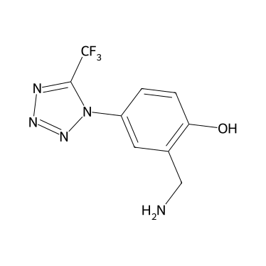 NCc1cc(-n2nnnc2C(F)(F)F)ccc1O